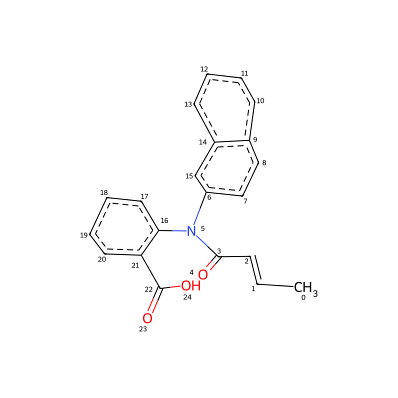 CC=CC(=O)N(c1ccc2ccccc2c1)c1ccccc1C(=O)O